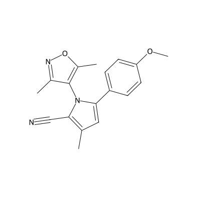 COc1ccc(-c2cc(C)c(C#N)n2-c2c(C)noc2C)cc1